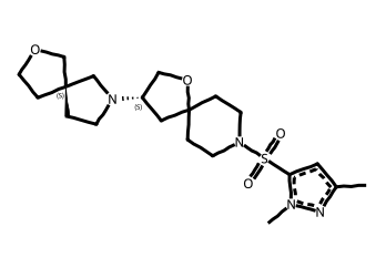 Cc1cc(S(=O)(=O)N2CCC3(CC2)C[C@H](N2CC[C@]4(CCOC4)C2)CO3)n(C)n1